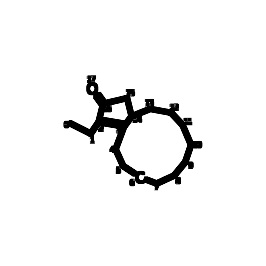 CCC1=C2CCCCCCCCCCC2CC1=O